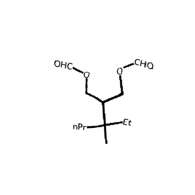 CCCC(C)(CC)C(COC=O)COC=O